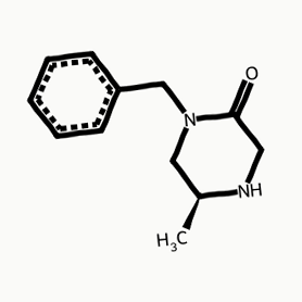 C[C@H]1CN(Cc2ccccc2)C(=O)CN1